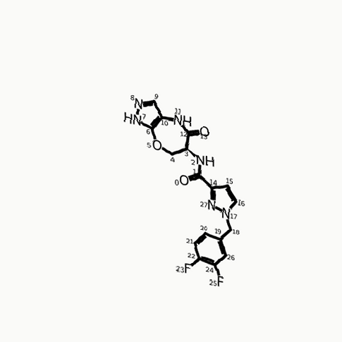 O=C(N[C@H]1COc2[nH]ncc2NC1=O)c1ccn(Cc2ccc(F)c(F)c2)n1